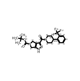 CC(C)(C)OC(=O)N1Cc2[nH]nc(C(=O)N3CCC(c4ccccc4C(F)(F)F)CC3)c2C1